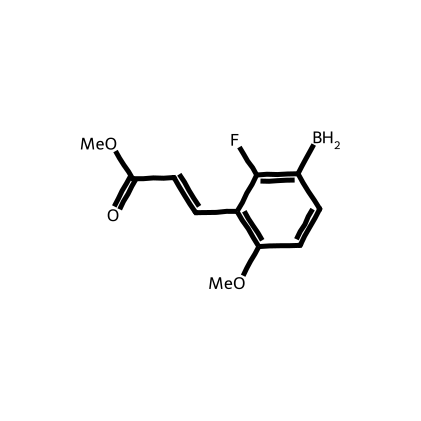 Bc1ccc(OC)c(/C=C/C(=O)OC)c1F